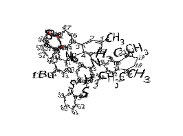 Cc1cc2c3c(c1)N(c1cc4c(cc1C)C(C)(C)CCC4(C)C)c1cc4c(cc1B3N(c1ccc(C(C)(C)C)cc1-c1ccccc1)c1c-2ccc2sc3ccccc3c12)Sc1ccccc1S4